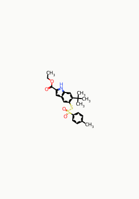 CCOC(=O)c1cc2cc(SS(=O)(=O)c3ccc(C)cc3)c(C(C)(C)C)cc2[nH]1